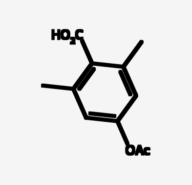 CC(=O)Oc1cc(C)c(C(=O)O)c(C)c1